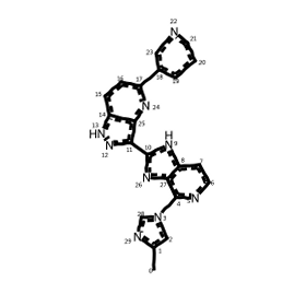 Cc1cn(-c2nccc3[nH]c(-c4n[nH]c5ccc(-c6cccnc6)nc45)nc23)cn1